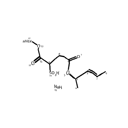 CC=CC(C)OC(=O)CC(C(=O)OCCCCCC)S(=O)(=O)O.[NaH]